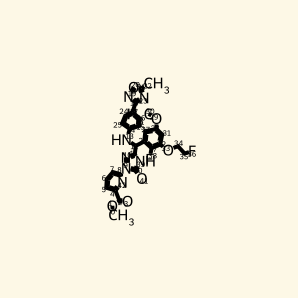 COC(=O)c1cccc(-n2nc(C(Nc3ccc(-c4noc(C)n4)cc3)c3cc(OC)cc(OCCF)c3F)[nH]c2=O)n1